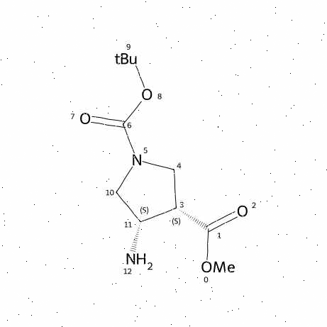 COC(=O)[C@H]1CN(C(=O)OC(C)(C)C)C[C@H]1N